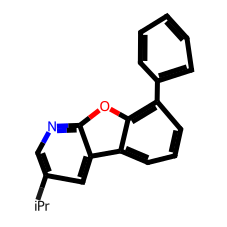 CC(C)c1cnc2oc3c(-c4ccccc4)cccc3c2c1